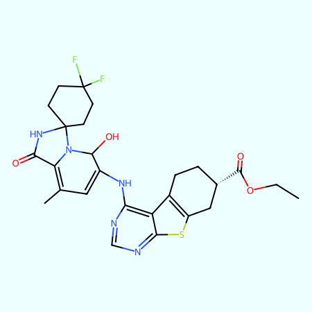 CCOC(=O)[C@H]1CCc2c(sc3ncnc(NC4=CC(C)=C5C(=O)NC6(CCC(F)(F)CC6)N5C4O)c23)C1